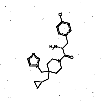 NC(Cc1ccc(Cl)cc1)C(=O)N1CCC(CC2CC2)(Cn2ccnc2)CC1